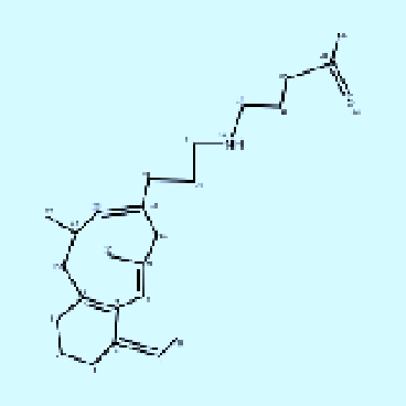 C/C=C1/CCCC2=C1/C=C(\C)CC(CCCNCCCC(C)=S)=CC(C)C2